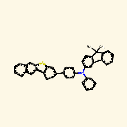 CC1(C)c2ccccc2-c2cc(N(c3ccccc3)c3ccc(-c4ccc5c(c4)sc4cc6ccccc6cc45)cc3)ccc21